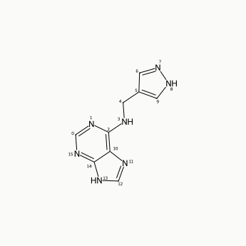 c1nc(NCc2cn[nH]c2)c2nc[nH]c2n1